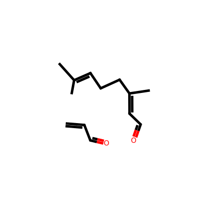 C=CC=O.CC(C)=CCCC(C)=CC=O